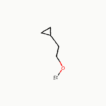 CCOCCC1CC1